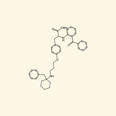 COC(=O)C(Cc1ccc(OCCCNC2(Cc3ccccc3)CCCCC2)cc1)Nc1ccccc1C(=O)c1ccccc1